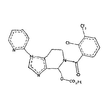 O=C(O)OC1c2ncn(-c3ccccn3)c2CCN1C(=O)c1cccc(C(F)(F)F)c1Cl